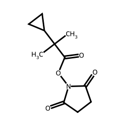 CC(C)(C(=O)ON1C(=O)CCC1=O)C1CC1